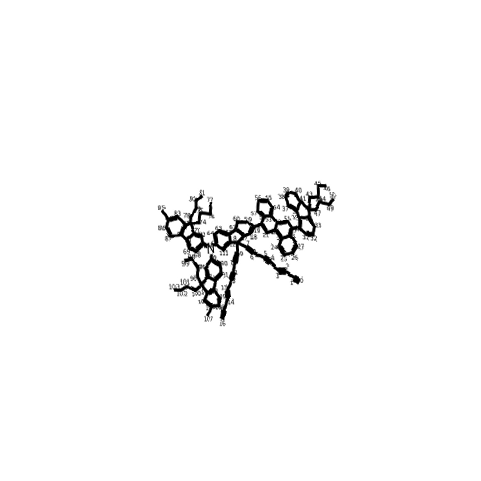 C#CC#CC#CC#CC1(C#CC#CC#CC#C)c2cc(-c3cc4c5ccccc5c(-c5cccc6c5-c5ccccc5C6(CCCC)CCCC)cc4c4ccccc34)ccc2-c2ccc(N(c3ccc4c(c3)C(CCCC)(CCCC)c3cc(C)ccc3-4)c3ccc4c(c3)C(CCCC)(CCCC)c3cc(C)ccc3-4)cc21